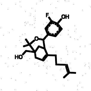 CC(C)=CCCC1=CCC2(CO)CC1C(c1ccc(O)c(F)c1)OC2(C)C